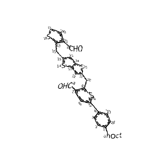 CCCCCCCCc1ccc(-c2cc(C=O)c(Cc3cc4sc(Cc5sccc5C=O)cc4s3)s2)cc1